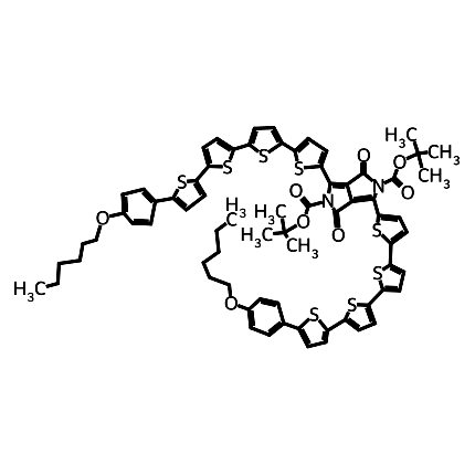 CCCCCCOc1ccc(-c2ccc(-c3ccc(-c4ccc(-c5ccc(C6=C7C(=O)N(C(=O)OC(C)(C)C)C(c8ccc(-c9ccc(-c%10ccc(-c%11ccc(-c%12ccc(OCCCCCC)cc%12)s%11)s%10)s9)s8)=C7C(=O)N6C(=O)OC(C)(C)C)s5)s4)s3)s2)cc1